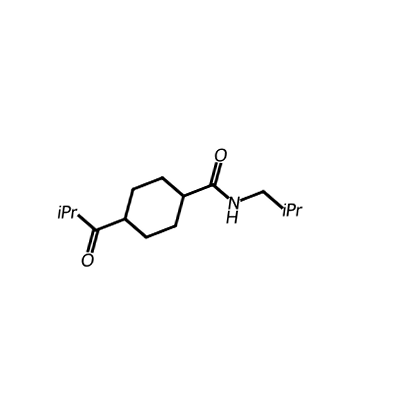 CC(C)CNC(=O)C1CCC(C(=O)C(C)C)CC1